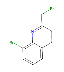 BrCc1ccc2cccc(Br)c2n1